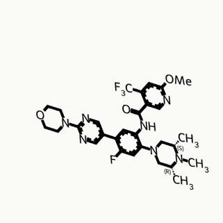 COc1cc(C(F)(F)F)c(C(=O)Nc2cc(-c3cnc(N4CCOCC4)nc3)c(F)cc2N2C[C@@H](C)N(C)[C@@H](C)C2)cn1